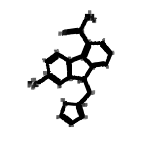 NC(=O)c1cccc2c1c1[c]cc(C(F)(F)F)cc1n2Cc1ccco1